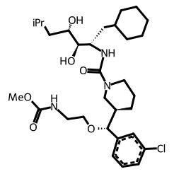 COC(=O)NCCO[C@@H](c1cccc(Cl)c1)[C@@H]1CCCN(C(=O)N[C@@H](CC2CCCCC2)[C@@H](O)[C@@H](O)CC(C)C)C1